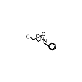 O=C1OC(CCl)CN1N=Cc1ccccc1